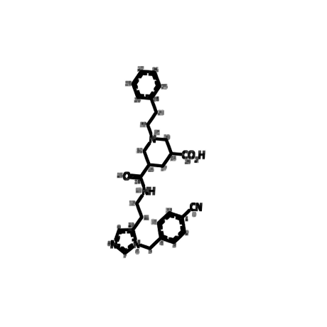 N#Cc1ccc(Cn2cncc2CCNC(=O)C2CC(C(=O)O)CN(CCc3ccccc3)C2)cc1